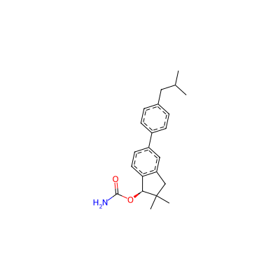 CC(C)Cc1ccc(-c2ccc3c(c2)CC(C)(C)[C@H]3OC(N)=O)cc1